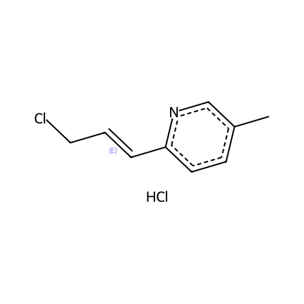 Cc1ccc(/C=C/CCl)nc1.Cl